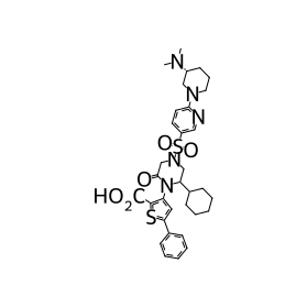 CN(C)[C@@H]1CCCN(c2ccc(S(=O)(=O)N3CC(=O)N(c4cc(-c5ccccc5)sc4C(=O)O)C(C4CCCCC4)C3)cn2)C1